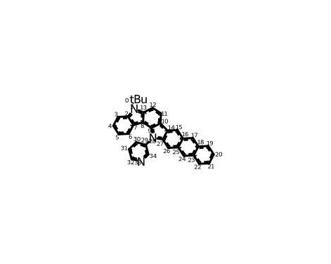 CC(C)(C)n1c2ccccc2c2c3c(ccc21)c1cc2cc4ccccc4cc2cc1n3-c1cccnc1